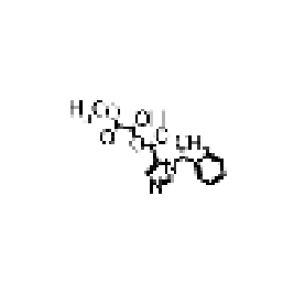 COC(=O)C(O)OC(=O)c1cncn1[C@H](C)c1ccccc1